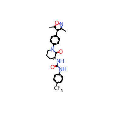 Cc1noc(C)c1-c1ccc(N2CCC[C@@H](NC(=O)Nc3ccc(C(F)(F)F)cc3)C2=O)cc1